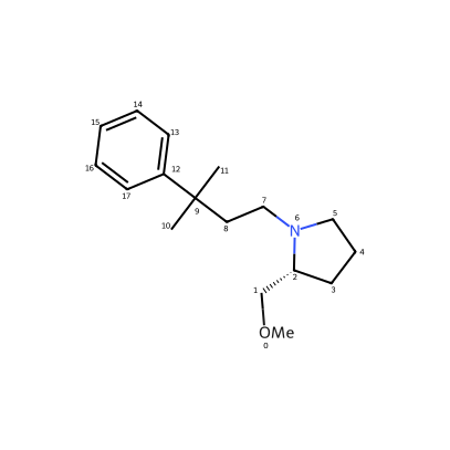 COC[C@H]1CCCN1CCC(C)(C)c1ccccc1